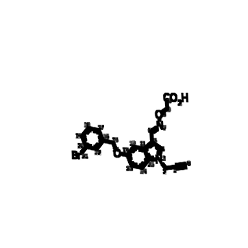 C#CCn1cc(/C=N/OCC(=O)O)c2cc(OCc3cccc(Br)c3)ccc21